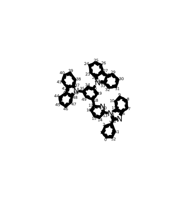 c1ccc(-c2nc3ccccc3n2-c2cccc(-c3cc(-n4c5ccccc5c5ccccc54)cc(-n4c5ccccc5c5ccccc54)c3)n2)cc1